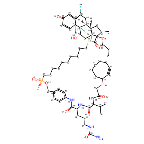 CCC(=O)O[C@]1(C(=O)SCCCCCCCCCCP(=O)(O)OCc2ccc(NC(=O)C(CCCNC(N)=O)NC(=O)C(NC(=O)COC3C#CCCCCC3)C(C)C)cc2)[C@H](C)C[C@H]2[C@@H]3C[C@H](F)C4=CC(=O)C=C[C@]4(C)[C@@]3(F)[C@@H](O)C[C@@]21C